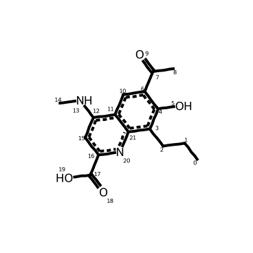 CCCc1c(O)c(C(C)=O)cc2c(NC)cc(C(=O)O)nc12